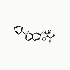 O=S(=O)(Oc1ccc2ccc(-c3ccccc3)nc2c1)C(F)F